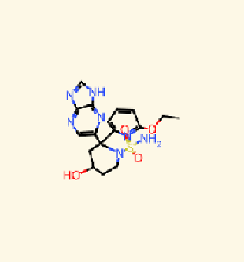 CCOc1cccc(C2(c3cnc4nc[nH]c4n3)CC(O)CCN2S(N)(=O)=O)n1